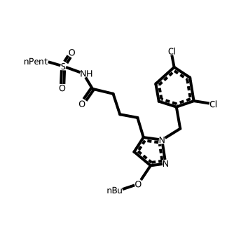 CCCCCS(=O)(=O)NC(=O)CCCc1cc(OCCCC)nn1Cc1ccc(Cl)cc1Cl